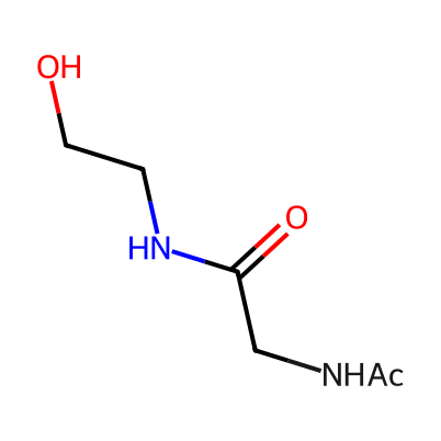 CC(=O)NCC(=O)NCCO